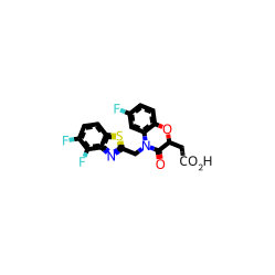 O=C(O)CC1Oc2ccc(F)cc2N(Cc2nc3c(F)c(F)ccc3s2)C1=O